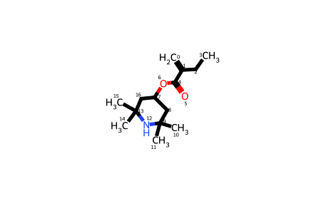 C=C(CC)C(=O)OC1CC(C)(C)NC(C)(C)C1